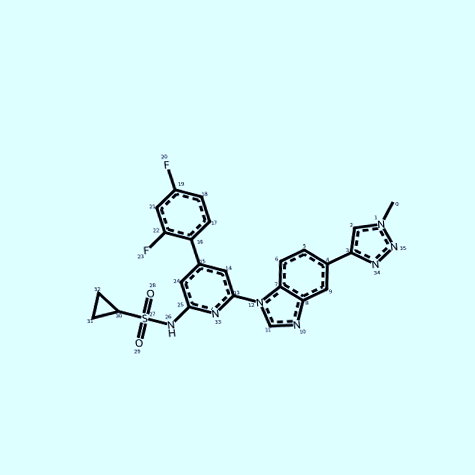 Cn1cc(-c2ccc3c(c2)ncn3-c2cc(-c3ccc(F)cc3F)cc(NS(=O)(=O)C3CC3)n2)nn1